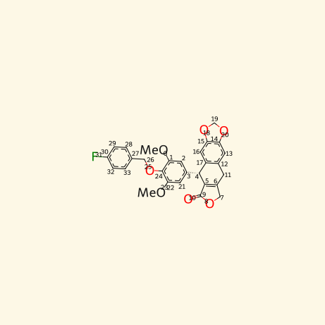 COc1cc([C@H]2C3=C(COC3=O)Cc3cc4c(cc32)OCO4)cc(OC)c1OCc1ccc(F)cc1